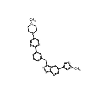 CN1CCN(c2cnc(-c3cccc(Cc4nnc5ncc(-c6cnn(C)c6)cn45)c3)nc2)CC1